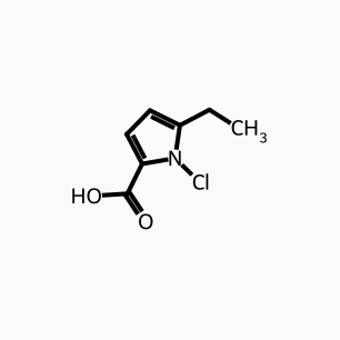 CCc1ccc(C(=O)O)n1Cl